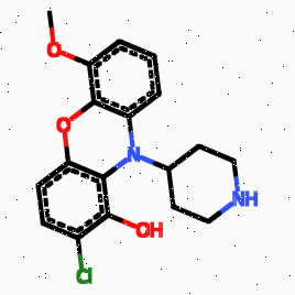 COc1cccc2c1Oc1ccc(Cl)c(O)c1N2C1CCNCC1